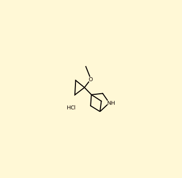 COC1(C23CNC(C2)C3)CC1.Cl